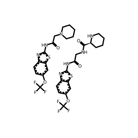 O=C(CN1CCCCC1)Nc1nc2ccc(OC(F)(F)F)cc2s1.O=C(CNC(=O)[C@@H]1CCCCN1)Nc1nc2ccc(OC(F)(F)F)cc2s1